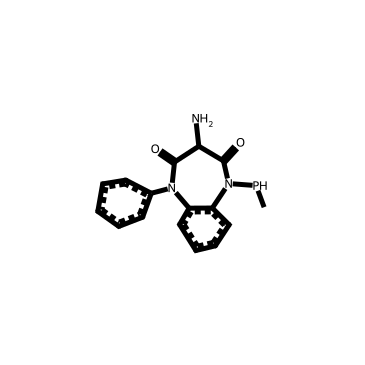 CPN1C(=O)C(N)C(=O)N(c2ccccc2)c2ccccc21